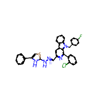 Fc1ccc(Cn2c3ccccc3c3cc(/C=N/NC4NC(c5ccccc5)=CS4)nc(-c4ccccc4Cl)c32)cc1